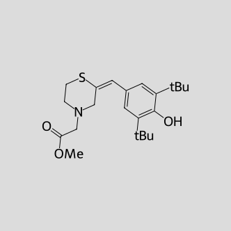 COC(=O)CN1CCSC(=Cc2cc(C(C)(C)C)c(O)c(C(C)(C)C)c2)C1